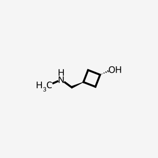 CNC[C@H]1C[C@H](O)C1